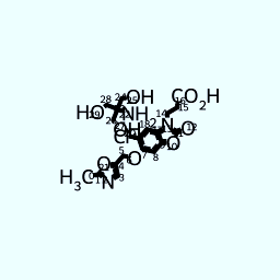 Cc1ncc(COc2cc3oc(=O)n(CCC(=O)O)c3cc2Cl)o1.NC(CO)(CO)CO